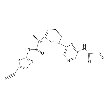 C=CC(=O)Nc1cncc(-c2cccc([C@H](C)C(=O)Nc3ncc(C#N)s3)c2)n1